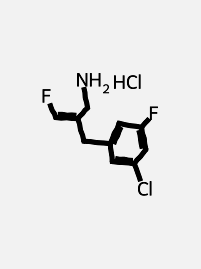 Cl.NC/C(=C\F)Cc1cc(F)cc(Cl)c1